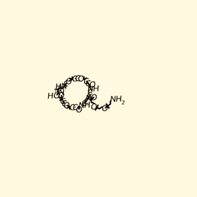 C[C@@H]1C(O)N2OC(C)(C)CCOC(C)(C)CCC(=O)NCCN(C(=O)CCOC(C)(C)CCOC(C)(C)CCN)CCNC(=O)CCC(C)(C)OCCC(C)(C)OCNC2[C@@H]1C